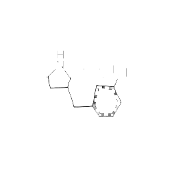 O=C(O)[C@H]1NCCC1Cc1cccc(Cl)c1